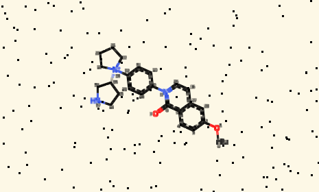 CCCCOc1ccc2c(=O)n(-c3ccc([N+]4([C@@H]5CCNC5)CCCC4)cc3)ccc2c1